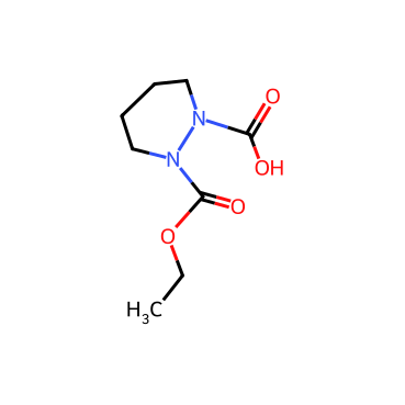 CCOC(=O)N1CCCCN1C(=O)O